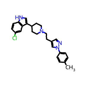 Cc1ccc(-n2cc(CCN3CCC(c4c[nH]c5ccc(Cl)cc45)CC3)cn2)cc1